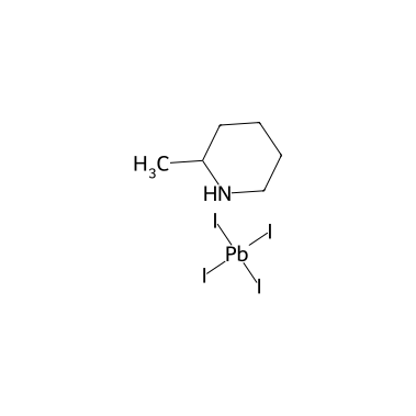 CC1CCCCN1.[I][Pb]([I])([I])[I]